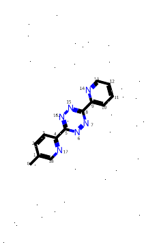 Cc1ccc(-c2nnc(-c3ccccn3)nn2)nc1